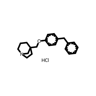 Cl.c1ccc(Cc2ccc(OCC34CCCN(CC3)C4)cc2)cc1